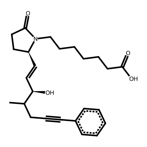 CC(CC#Cc1ccccc1)[C@H](O)/C=C/[C@H]1CCC(=O)N1CCCCCCC(=O)O